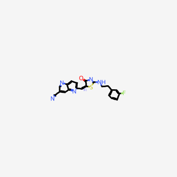 N#Cc1cnc2ccc(/C=C3/SC(NCCc4cccc(F)c4)=NC3=O)nc2c1